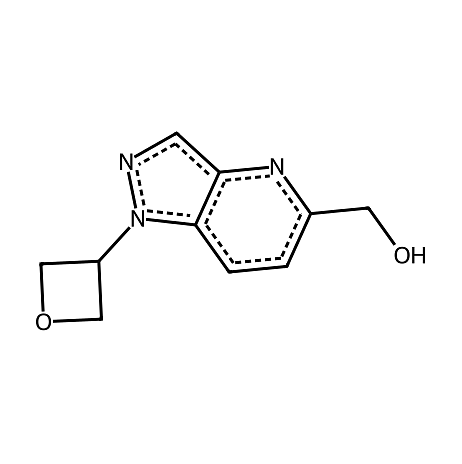 OCc1ccc2c(cnn2C2COC2)n1